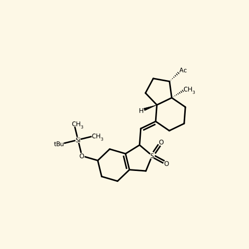 CC(=O)[C@H]1CC[C@H]2C(=CC3C4=C(CCC(O[Si](C)(C)C(C)(C)C)C4)CS3(=O)=O)CCC[C@]12C